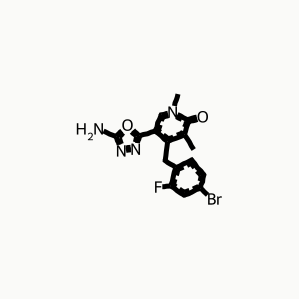 Cc1c(Cc2ccc(Br)cc2F)c(-c2nnc(N)o2)cn(C)c1=O